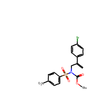 C=C(CN(C(=O)OC(C)(C)C)S(=O)(=O)c1ccc([N+](=O)[O-])cc1)c1ccc(Br)cc1